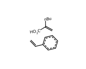 C=C(CCCC)C(=O)O.C=Cc1ccccc1